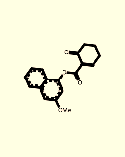 COc1cc(OC(=O)C2CCCCC2=O)c2ccccc2c1